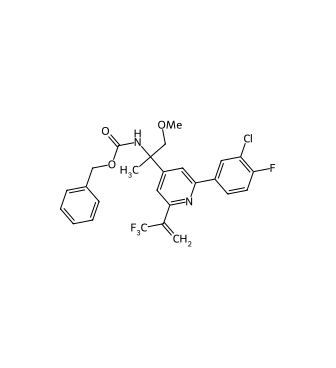 C=C(c1cc(C(C)(COC)NC(=O)OCc2ccccc2)cc(-c2ccc(F)c(Cl)c2)n1)C(F)(F)F